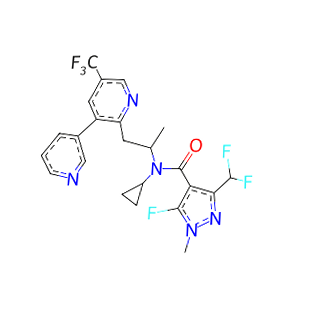 CC(Cc1ncc(C(F)(F)F)cc1-c1cccnc1)N(C(=O)c1c(C(F)F)nn(C)c1F)C1CC1